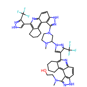 CN(CCO)c1n[nH]c2ccc3nc(-c4cn(C5CN(c6n[nH]c7ccc8nc(-c9c[nH]nc9C(F)(F)F)c9c(c8c67)CCCC9)CCN5C)nc4C(F)(F)F)c4c(c3c12)CCCC4